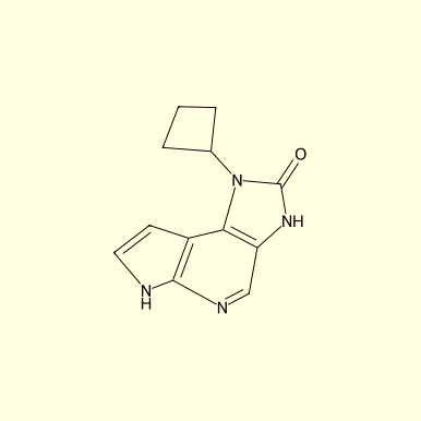 O=c1[nH]c2cnc3[nH]ccc3c2n1C1CCC1